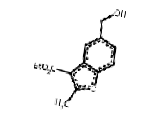 CCOC(=O)c1c(C)oc2ccc(CO)cc12